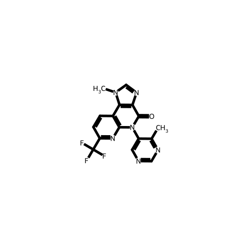 Cc1ncncc1-n1c(=O)c2ncn(C)c2c2ccc(C(F)(F)F)nc21